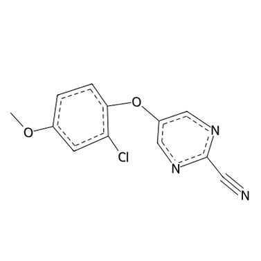 COc1ccc(Oc2cnc(C#N)nc2)c(Cl)c1